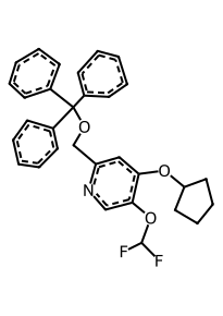 FC(F)Oc1cnc(COC(c2ccccc2)(c2ccccc2)c2ccccc2)cc1OC1CCCC1